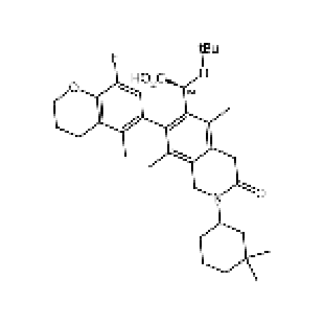 Cc1c(-c2c(C)c3c(c(C)c2[C@H](OC(C)(C)C)C(=O)O)CC(=O)N(C2CCCC(C)(C)C2)C3)cc(F)c2c1CCCO2